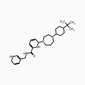 CC(C)(C)C1CCC(N2CCCN(C3C=CC=C(C(=O)NCC4=CNCC=C4)N3)CC2)CC1